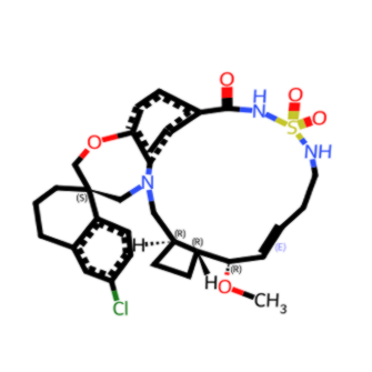 CO[C@H]1/C=C/CCNS(=O)(=O)NC(=O)c2ccc3c(c2)N(C[C@@H]2CC[C@H]21)C[C@@]1(CCCc2cc(Cl)ccc21)CO3